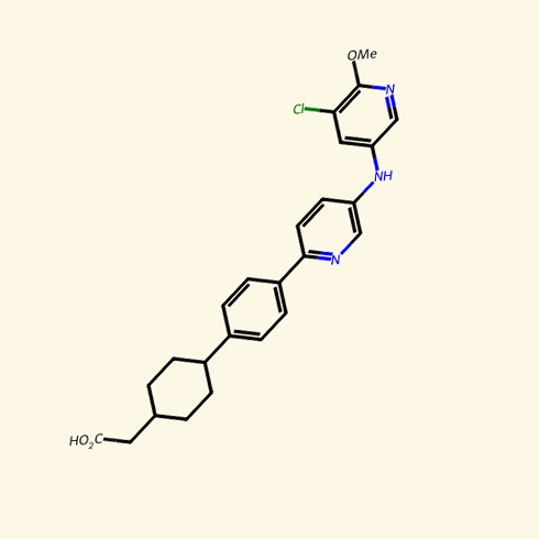 COc1ncc(Nc2ccc(-c3ccc(C4CCC(CC(=O)O)CC4)cc3)nc2)cc1Cl